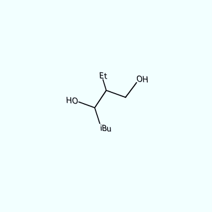 CCC(C)C(O)C(CC)CO